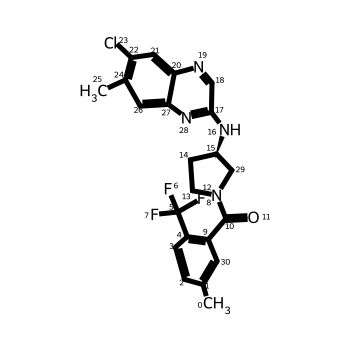 Cc1ccc(C(F)(F)F)c(C(=O)N2CC[C@@H](Nc3cnc4cc(Cl)c(C)cc4n3)C2)c1